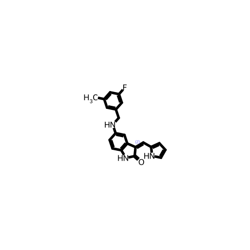 Cc1cc(F)cc(CNc2ccc3c(c2)/C(=C/c2ccc[nH]2)C(=O)N3)c1